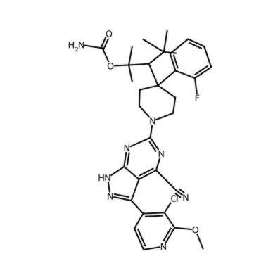 COc1nccc(-c2n[nH]c3nc(N4CCC(c5ccccc5F)(C(C(C)(C)C)C(C)(C)OC(N)=O)CC4)nc(C#N)c23)c1Cl